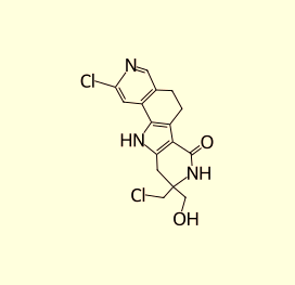 O=C1NC(CO)(CCl)Cc2[nH]c3c(c21)CCc1cnc(Cl)cc1-3